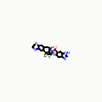 CC1(C)[C@H]2Cc3cc4nccnc4cc3[C@]1(C)CCN2C(=O)c1ccc2nc[nH]c2c1